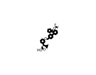 CC1(C)CCC[C@@H]1c1cc(COc2cccc([C@@H](CC(=O)O)C3CC3)c2)ccc1-c1cccc(OC(F)F)c1